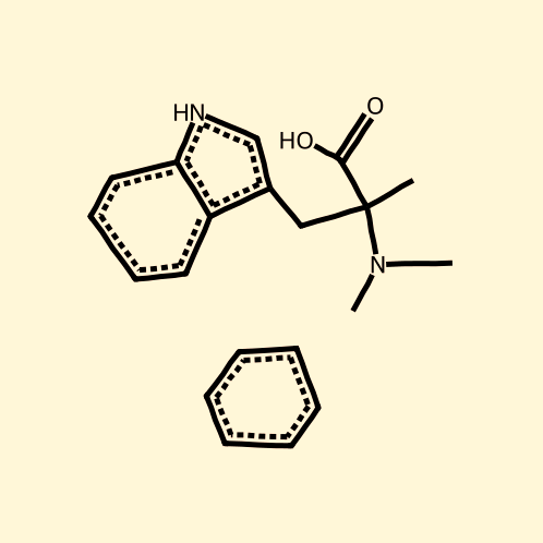 CN(C)C(C)(Cc1c[nH]c2ccccc12)C(=O)O.c1ccccc1